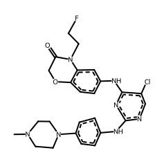 CN1CCN(c2ccc(Nc3ncc(Cl)c(Nc4ccc5c(c4)N(CCF)C(=O)CO5)n3)cc2)CC1